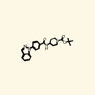 CC(C)(C)OC(=O)N1CCC(NC(=O)c2ccc(-n3ncc4ccccc43)cc2)CC1